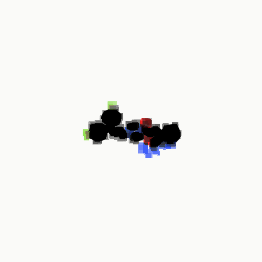 NC(=O)c1[nH]c2ccccc2c1C[CH]C(=O)N1CCN(CCCC(c2ccc(F)cc2)c2ccc(F)cc2)CC1